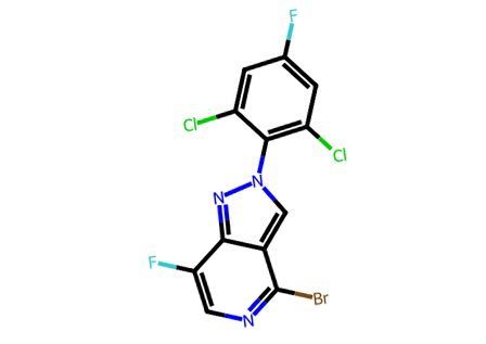 Fc1cc(Cl)c(-n2cc3c(Br)ncc(F)c3n2)c(Cl)c1